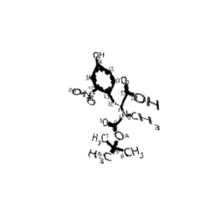 CN(C(=O)OC(C)(C)C)[C@H](Cc1ccc(O)cc1[N+](=O)[O-])C(=O)O